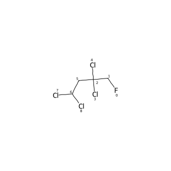 FCC(Cl)(Cl)CC(Cl)Cl